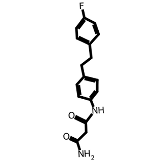 NC(=O)CC(=O)Nc1ccc(CCc2ccc(F)cc2)cc1